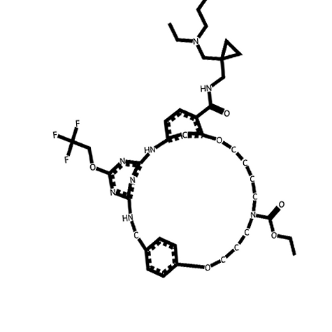 CCCN(CC)CC1(CNC(=O)c2ccc3cc2OCCCCN(C(=O)OCC)CCCOc2ccc(cc2)CNc2nc(nc(OCC(F)(F)F)n2)N3)CC1